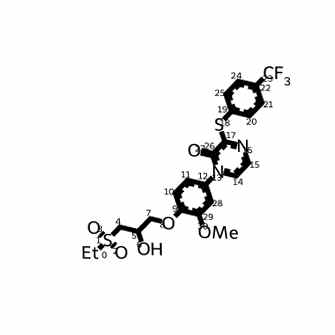 CCS(=O)(=O)CC(O)COc1ccc(-n2ccnc(Sc3ccc(C(F)(F)F)cc3)c2=O)cc1OC